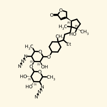 CCC(CCC1(C)[C@@H](C2=CC(=O)OC2)CC[C@@]1(C)O)C1(C)CCC(OC2OC(C)C(N=[N+]=[N-])[C@H](OC3OC(C)C(N=[N+]=[N-])[C@H](O)[C@@H]3O)[C@@H]2O)CC1